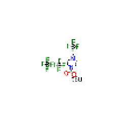 CN1CCN(C(=O)OC(C)(C)C)CC1.F[B-](F)(F)F.F[B-](F)(F)F.F[B-](F)(F)F